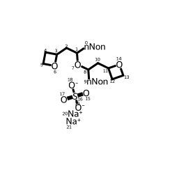 CCCCCCCCCC(CC1CCO1)OC(CCCCCCCCC)CC1CCO1.O=S(=O)([O-])[O-].[Na+].[Na+]